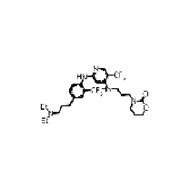 CCN(CC)CCCc1ccc(Nc2cc(NCCCN3CCCOC3=O)c(C(F)(F)F)cn2)c(C(F)(F)F)c1